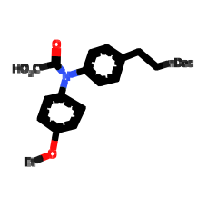 CCCCCCCCCCCCc1ccc(N(C(=O)C(=O)O)c2ccc(OCC)cc2)cc1